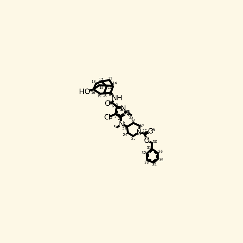 CN(c1c(Cl)c(C(=O)NC2C3CC4CC2CC(O)(C4)C3)nn1C)C1CCN(C(=O)OCc2ccccc2)CC1